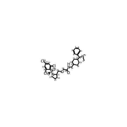 CN(C)C(c1ccccc1)C1CCC(CNC(=O)COCC2CCCN2S(=O)(=O)c2c(Cl)cc(Cl)cc2Cl)CC1